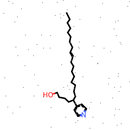 CCCCCCCCC=CCCCCCCCCC(CCCCO)c1ccncc1